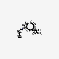 CC[C@H]1OC(=O)[C@H](C)C(=O)[C@H](C)[C@@H](O[C@@H]2O[C@H](C)CC(N)C2O)[C@](C)(OC)C[C@@H](C)C(=O)[C@H](C)[C@H]2N(C/C=C/Cn3cc(-c4nccs4)nn3)C(=O)O[C@]12C